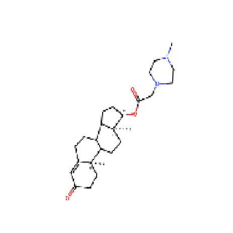 CN1CCN(CC(=O)O[C@@H]2CCC3C4CCC5=CC(=O)CC[C@]5(C)C4CC[C@@]32C)CC1